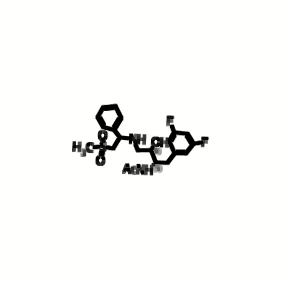 CC(=O)N[C@@H](Cc1cc(F)cc(F)c1)[C@H](O)CNC(CS(C)(=O)=O)c1ccccc1